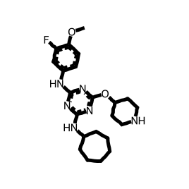 COc1ccc(Nc2nc(NC3CCCCCC3)nc(OC3CCNCC3)n2)cc1F